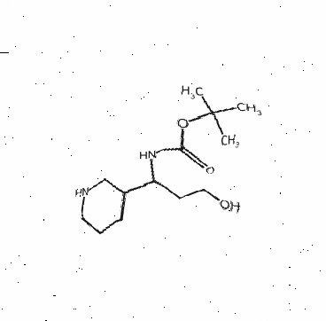 CC(C)(C)OC(=O)NC(CCO)C1CCCNC1